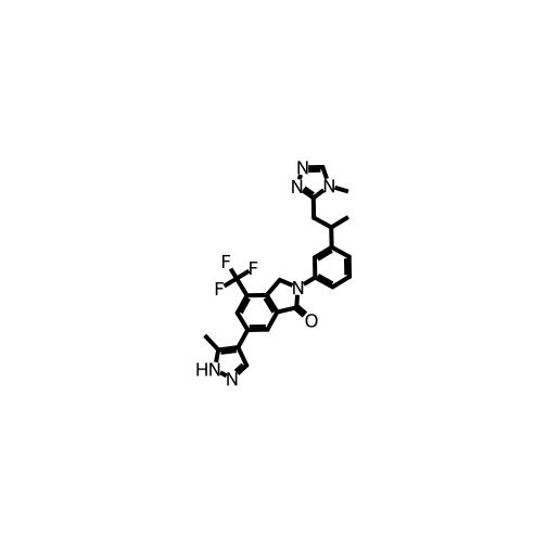 Cc1[nH]ncc1-c1cc2c(c(C(F)(F)F)c1)CN(c1cccc(C(C)Cc3nncn3C)c1)C2=O